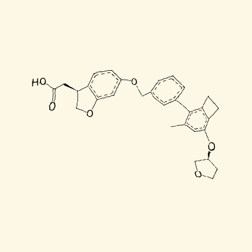 Cc1cc(O[C@H]2CCOC2)c2c(c1-c1cccc(COc3ccc4c(c3)OC[C@H]4CC(=O)O)c1)CC2